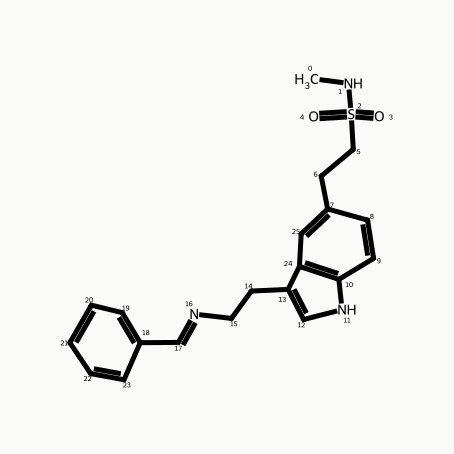 CNS(=O)(=O)CCc1ccc2[nH]cc(CCN=Cc3ccccc3)c2c1